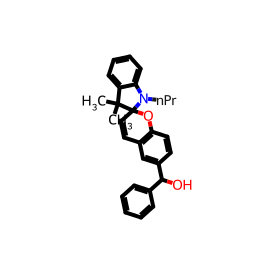 CCCN1c2ccccc2C(C)(C)C12C=Cc1cc(C(O)c3ccccc3)ccc1O2